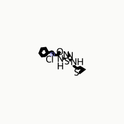 O=C(/C=C/c1ccccc1Cl)Nc1nnc(NCc2cccs2)s1